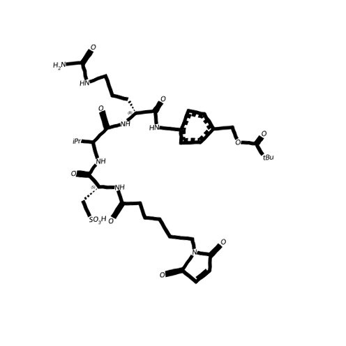 CC(C)C(NC(=O)[C@@H](CS(=O)(=O)O)NC(=O)CCCCCN1C(=O)C=CC1=O)C(=O)N[C@H](CCCNC(N)=O)C(=O)Nc1ccc(COC(=O)C(C)(C)C)cc1